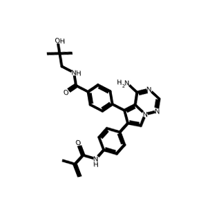 C=C(C)C(=O)Nc1ccc(-c2cn3ncnc(N)c3c2-c2ccc(C(=O)NCC(C)(C)O)cc2)cc1